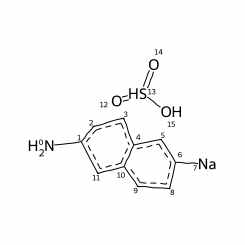 Nc1ccc2c[c]([Na])ccc2c1.O=[SH](=O)O